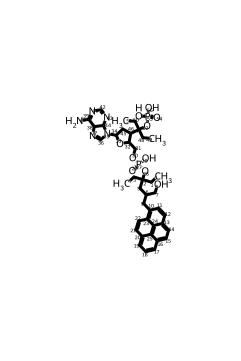 CCC(CC)(CC(CO)Cc1ccc2ccc3cccc4ccc1c2c34)OP(=O)(O)OCC1OC(N2C=NC3C(N)=NC=NC32)CC1C(CC)(CC)OP(=O)(O)O